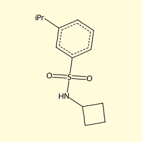 CC(C)c1cccc(S(=O)(=O)NC2CCC2)c1